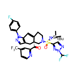 CC(C)(C)[Si](C)(C)N=[S@@](=O)(c1cnn(C(F)F)n1)N1CCC2=Cc3c(cnn3-c3ccc(F)cc3)C[C@]2(C(=O)c2cc(C(F)(F)F)ccn2)C1